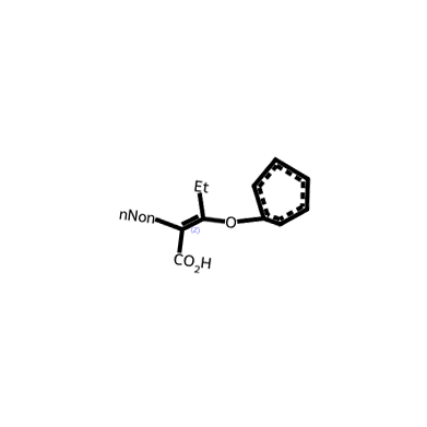 CCCCCCCCC/C(C(=O)O)=C(\CC)Oc1ccccc1